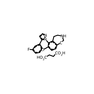 Fc1cccc(-c2ccnn2-c2c(Cl)ccc3c2CCNCC3)c1.O=C(O)CCC(=O)O